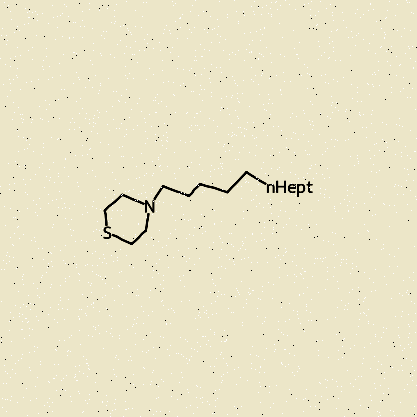 CCCCCCCCCCCCN1CCSCC1